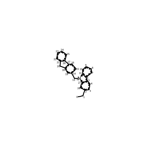 CCc1ccc2c3ccccc3n(Cc3ccc4c(c3)Cc3ccccc3-4)c2c1